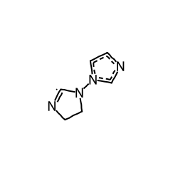 [C]1=NCCN1n1ccnc1